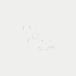 COC(=O)/C(=C/c1cc(F)c(OC(F)F)c(Cl)c1)CN